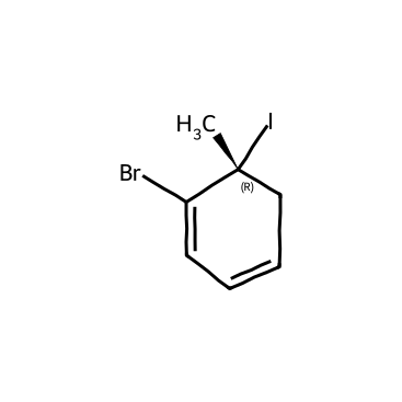 C[C@@]1(I)CC=CC=C1Br